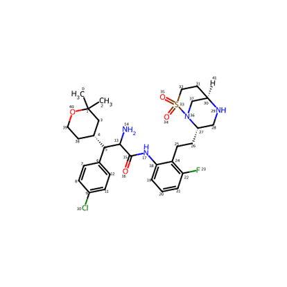 CC1(C)C[C@H](C(c2ccc(Cl)cc2)C(N)C(=O)Nc2cccc(F)c2CC[C@H]2CN[C@@H]3CCS(=O)(=O)N2C3)CCO1